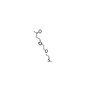 CSCCOCCOCCC(C)=O